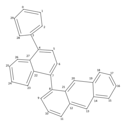 c1ccc(-c2ccc(-c3cccc4cc5ccccc5cc34)c3ccccc23)cc1